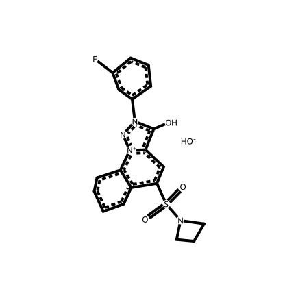 O=S(=O)(c1cc2c(O)n(-c3cccc(F)c3)n[n+]2c2ccccc12)N1CCC1.[OH-]